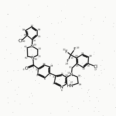 O=C(c1ccc(-c2cnc3c(c2)N(Cc2cc(Cl)ccc2C(F)(F)F)CCN3)cc1)N1CCN(c2ccccc2Cl)CC1